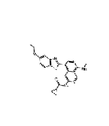 CNc1ncc(-c2nc3cc(OCF)ccc3o2)c2cc(NC(=O)C3CC3)ncc12